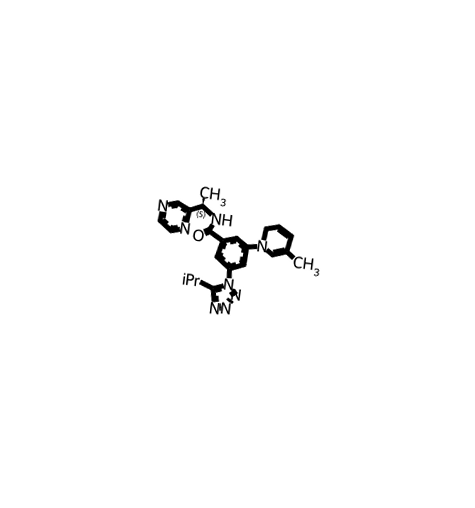 CC1=CN(c2cc(C(=O)N[C@@H](C)c3cnccn3)cc(-n3nnnc3C(C)C)c2)CC=C1